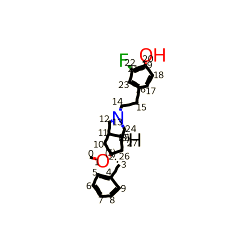 CO[C@@]1(Cc2ccccc2)CC2CN(CCc3ccc(O)c(F)c3)C[C@H]2C1